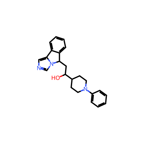 OC(CC1c2ccccc2-c2cncn21)C1CCN(c2ccccc2)CC1